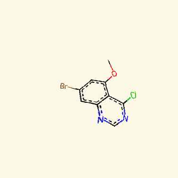 COc1cc(Br)cc2ncnc(Cl)c12